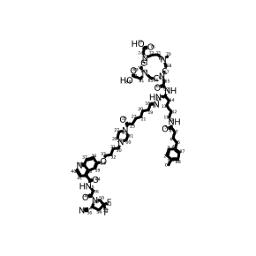 Cc1ccc(CCCC(=O)NCCCCC(N/N=C/CCCCCC(=O)N2CCN(CCCCOc3ccc4nccc(C(=O)NCC(=O)N5CC(F)(F)C[C@@H]5C#N)c4c3)CC2)NC(=O)CN2CCN(C)CCN(CC(=O)O)CCN(CC(=O)O)CC2)cc1